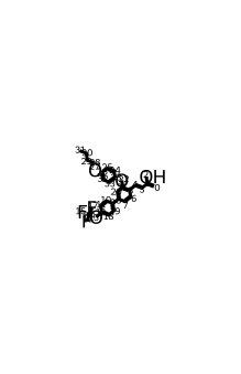 C=C(O)/C=C/c1ccc(-c2ccc(OC(F)(F)F)cc2)cc1Oc1ccc(OCCCC)cc1